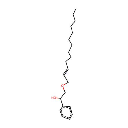 CCCCCCCCCC/C=C/COCC(O)c1ccccc1